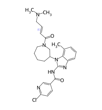 Cc1cccc2nc(NC(=O)c3ccc(Cl)nc3)n(C3CCCCN(C(=O)/C=C/CN(C)C)C3)c12